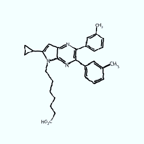 Cc1cccc(-c2nc3cc(C4CC4)n(CCCCCCC(=O)O)c3nc2-c2cccc(C)c2)c1